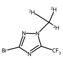 [2H]C([2H])([2H])n1nc(Br)nc1C(F)(F)F